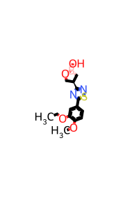 CCOc1cc(-c2nc([C@H]3COB(O)C3)ns2)ccc1OC